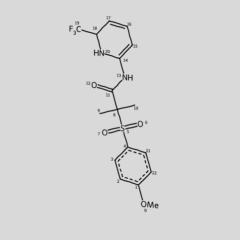 COc1ccc(S(=O)(=O)C(C)(C)C(=O)NC2=CC=CC(C(F)(F)F)N2)cc1